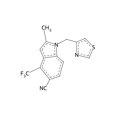 Cc1cc2c(C(F)(F)F)c(C#N)ccc2n1Cc1cscn1